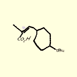 C/C(=C/C1CCC(C(C)(C)C)CC1)C(=O)O